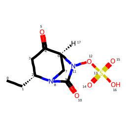 CC[C@@H]1CC(=O)[C@@H]2CN1C(=O)N2OS(=O)(=O)O